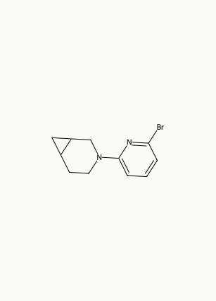 Brc1cccc(N2CCC3CC3C2)n1